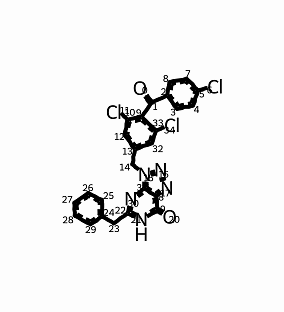 O=C(c1ccc(Cl)cc1)c1c(Cl)cc(Cn2nnc3c(=O)[nH]c(Cc4ccccc4)nc32)cc1Cl